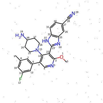 COc1ncc(-c2cc(C)cc(F)c2)c(N2CCC(N)CC2)c1-c1nc2cc(C#N)ccc2[nH]1